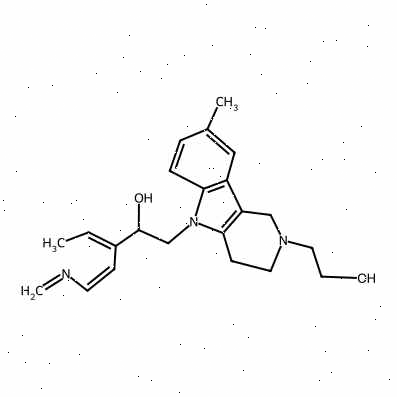 C=N/C=C\C(=C/C)C(O)Cn1c2c(c3cc(C)ccc31)CN(CCO)CC2